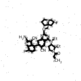 C=CC(=O)N1CC[C@@H](N(CC)c2nc(OC[C@@]34CCCN3C[C@H](F)C4)nc3cc(-c4ccc(F)c5sc(N)c(C#N)c45)c(C#N)cc23)[C@H]1CC